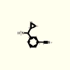 N#Cc1cccc(C(N)C2CC2)c1